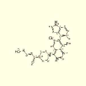 Cc1ccc2[nH]ncc2c1-c1c(Cl)cc2c(N3CCN(C(=O)C=CCO)CC3)ncnc2c1F